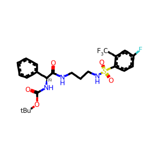 CC(C)(C)OC(=O)N[C@H](C(=O)NCCCNS(=O)(=O)c1ccc(F)cc1C(F)(F)F)c1ccccc1